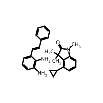 CN1C(=O)C(C)(C)c2c(C3CC3)cccc21.Nc1cccc(C=Cc2ccccc2)c1N